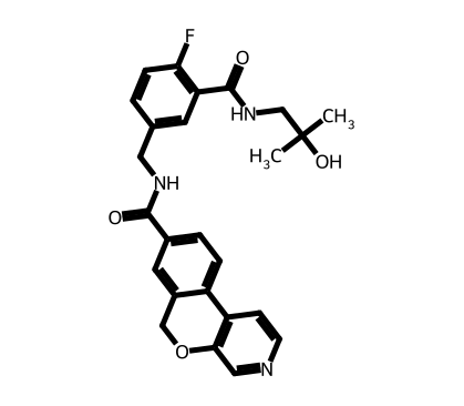 CC(C)(O)CNC(=O)c1cc(CNC(=O)c2ccc3c(c2)COc2cnccc2-3)ccc1F